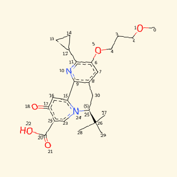 COCCCOc1cc2c(nc1C1CC1)-c1cc(=O)c(C(=O)O)cn1[C@H](C(C)(C)C)C2